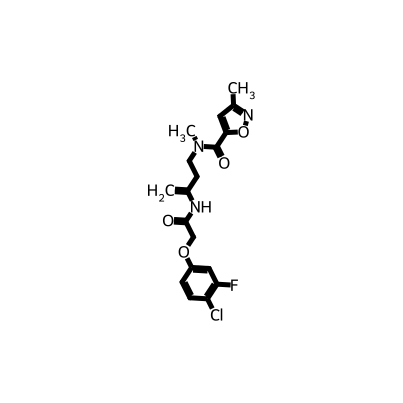 C=C(CCN(C)C(=O)c1cc(C)no1)NC(=O)COc1ccc(Cl)c(F)c1